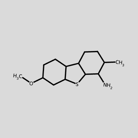 COC1CCC2C(C1)SC1C(N)C(C)CCC21